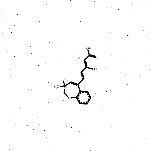 CC(/C=C/C1=CC(C)(C)COc2ccccc21)=C\C(=O)O